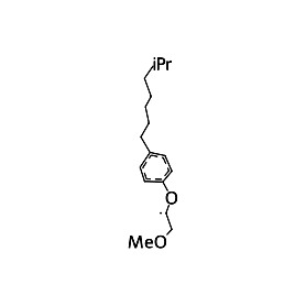 COC[CH]Oc1ccc(CCCCCC(C)C)cc1